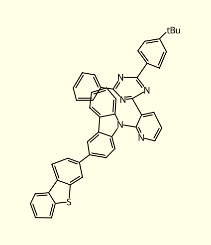 CC(C)(C)c1ccc(-c2nc(-c3ccccc3)nc(-c3cccnc3-n3c4ccccc4c4cc(-c5ccc6c(c5)sc5ccccc56)ccc43)n2)cc1